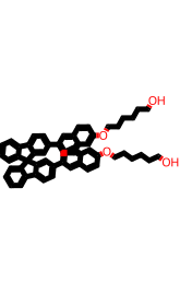 OCCCCCCOc1ccc2cc(-c3ccc4c(c3)C3(c5ccccc5-4)c4ccccc4-c4ccc(-c5ccc6cc(OCCCCCCO)ccc6c5)cc43)ccc2c1